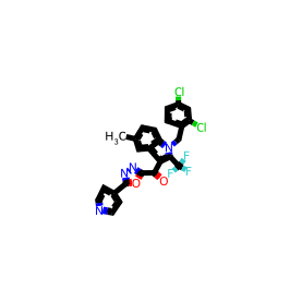 Cc1ccc2c(c1)c(C(=O)c1nnc(-c3ccncc3)o1)c(C(F)(F)F)n2Cc1ccc(Cl)cc1Cl